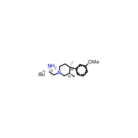 CC[C@H](C)[C@H](N)CN1CC[C@@](C)(c2cccc(OC)c2)[C@@H](C)C1